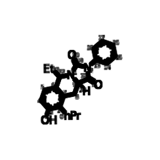 CCCc1c(O)ccc2c1C[C@H]1C(=O)N(c3ccccc3)C(=O)N1C2CC